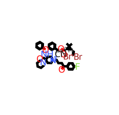 CC1(C)[C@H](C(=O)O[C@H](C#N)c2cccc(Oc3ccccc3)c2)[C@@H]1C=C(Br)Br.NC(=O)C1(N2CCCCC2)CCN(CCCC(=O)c2ccc(F)cc2)CC1